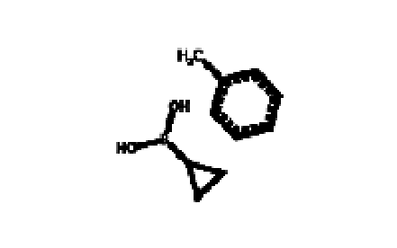 Cc1ccccc1.OB(O)C1CC1